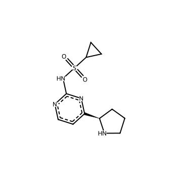 O=S(=O)(Nc1nccc([C@H]2CCCN2)n1)C1CC1